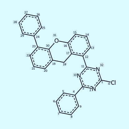 Clc1nc(-c2ccccc2)nc(-c2cccc3c2Cc2cccc(-c4ccccc4)c2O3)n1